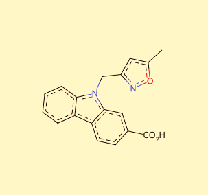 Cc1cc(Cn2c3ccccc3c3ccc(C(=O)O)cc32)no1